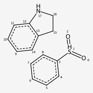 O=[SH](=O)c1ccccc1.c1ccc2c(c1)CCN2